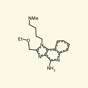 CCOCc1nc2c(N)nc3ccccc3c2n1CCCCNC